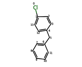 Clc1ccc(Cc2ccccc2)cc1